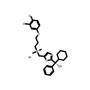 C[N+](C)(CCCOc1ccc(Cl)c(Cl)c1)Cc1cnc([C@](O)(c2ccccc2)C2CCCCC2)o1.[Br-]